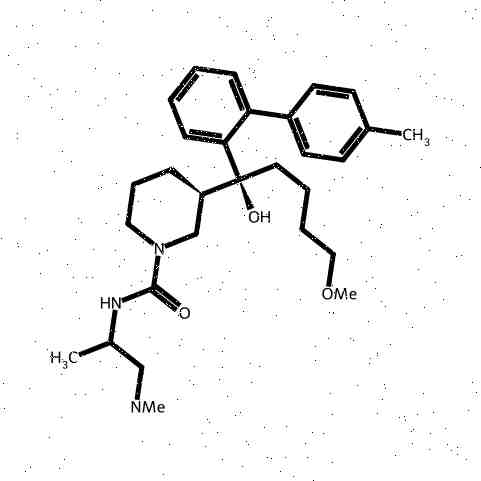 CNCC(C)NC(=O)N1CCC[C@@H]([C@@](O)(CCCCOC)c2ccccc2-c2ccc(C)cc2)C1